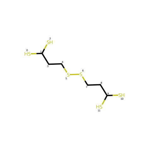 SC(S)CCSSCCC(S)S